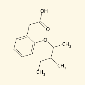 CCC(C)C(C)Oc1ccccc1CC(=O)O